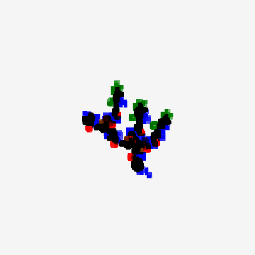 Nc1ccc(C(=O)NCc2ccc(S(=O)(=O)NNC(=O)CCCNc3ncc(C(F)(F)F)cc3Cl)s2)cc1.O=C(CCCNc1ncc(C(F)(F)F)cc1Cl)NNS(=O)(=O)c1ccc(CNC(=O)c2cccnc2)s1.O=C(CCCNc1ncc(C(F)(F)F)cc1Cl)NNS(=O)(=O)c1ccc(CNC(=O)c2ccncc2)s1